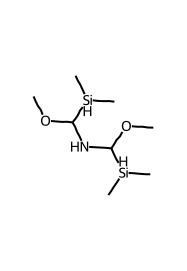 COC(NC(OC)[SiH](C)C)[SiH](C)C